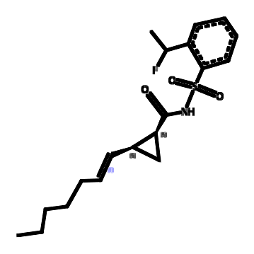 CCCCC/C=C/[C@@H]1C[C@@H]1C(=O)NS(=O)(=O)c1ccccc1C(C)F